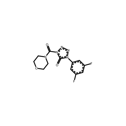 O=C(N1CCOCC1)n1nnn(-c2cc(F)cc(F)c2)c1=O